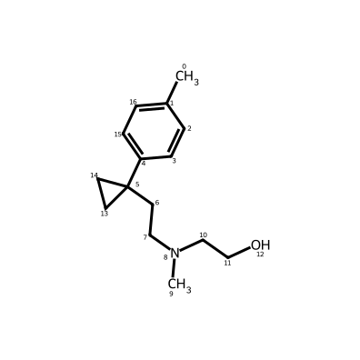 Cc1ccc(C2(CCN(C)CCO)CC2)cc1